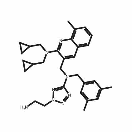 Cc1cc(C)cc(CN(Cc2cc3cccc(C)c3nc2N(CC2CC2)CC2CC2)c2nnn(CCN)n2)c1